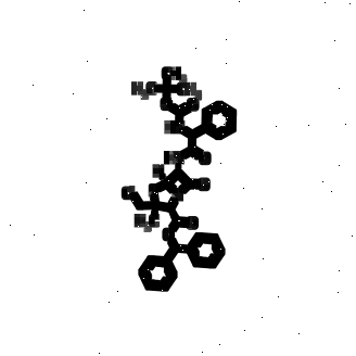 CC(C)(C)OC(=O)NC(C(=O)N[C@@H]1C(=O)N2[C@@H](C(=O)OC(c3ccccc3)c3ccccc3)[C@](C)(CCl)S[C@@H]12)c1ccccc1